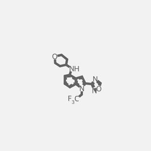 FC(F)(F)Cn1c(-c2ncon2)cc2c(NC3CCOCC3)cccc21